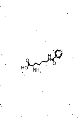 N[C@@H](CCCCNC(=O)c1ccncc1)C(=O)O